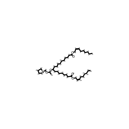 CCCCCC/C=C\COC(=O)CCCCCCCCCC(CCCCCCCC(=O)OC/C=C\CCCCCC)OC(C)OCN1CCCC1